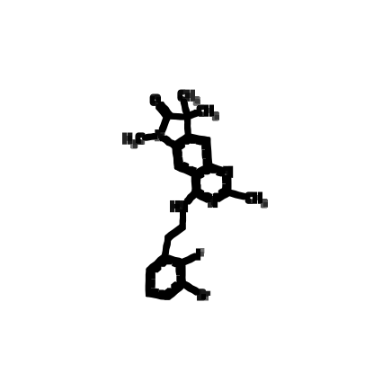 Cc1nc(NCCc2cccc(Br)c2F)c2cc3c(cc2n1)C(C)(C)C(=O)N3C